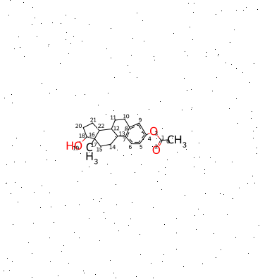 CC(=O)Oc1ccc2c(c1)CCC1C2CCC2(C)C(O)CCC12